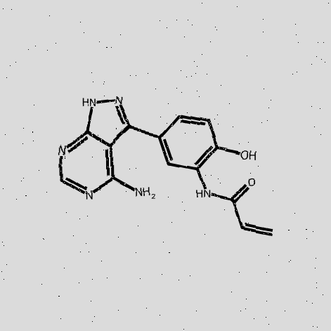 C=CC(=O)Nc1cc(-c2n[nH]c3ncnc(N)c23)ccc1O